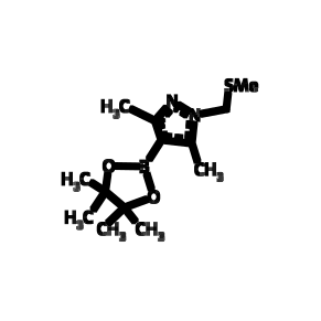 CSCn1nc(C)c(B2OC(C)(C)C(C)(C)O2)c1C